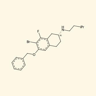 CC(C)CCN[C@@H]1CCc2cc(OCc3ccccc3)c(Br)c(F)c2C1